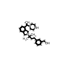 C=C(c1cccc2c1CN(C(C)(C)CCc1cccc(CO)c1)C2)N1CCNCC1